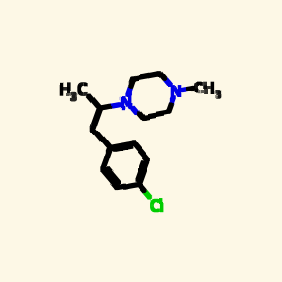 CC(Cc1ccc(Cl)cc1)N1CCN(C)CC1